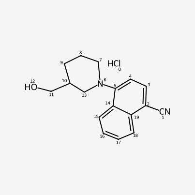 Cl.N#Cc1ccc(N2CCCC(CO)C2)c2ccccc12